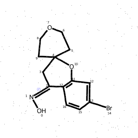 O/N=C1/CC2(CCOCC2)Oc2cc(Br)ccc21